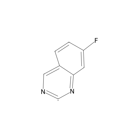 Fc1ccc2cn[c]nc2c1